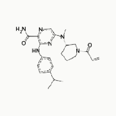 C=CC(=O)N1CCC[C@H](N(C)c2cnc(C(N)=O)c(Nc3ccc(C(C)C)cc3)n2)C1